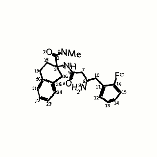 CNC(=O)[C@@]1(NC(=O)C[C@H](N)Cc2ccccc2F)CCc2ccccc2C1